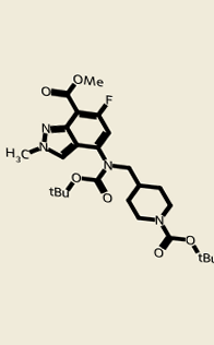 COC(=O)c1c(F)cc(N(CC2CCN(C(=O)OC(C)(C)C)CC2)C(=O)OC(C)(C)C)c2cn(C)nc12